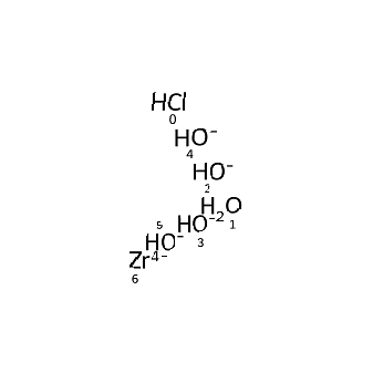 Cl.O.[OH-].[OH-].[OH-].[OH-].[Zr+4]